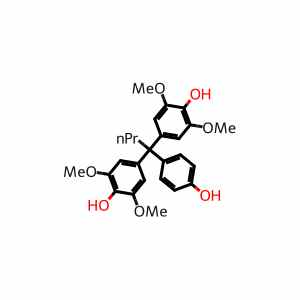 CCCC(c1ccc(O)cc1)(c1cc(OC)c(O)c(OC)c1)c1cc(OC)c(O)c(OC)c1